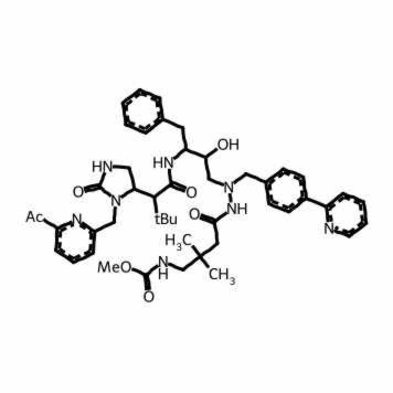 COC(=O)NCC(C)(C)CC(=O)NN(Cc1ccc(-c2ccccn2)cc1)CC(O)C(Cc1ccccc1)NC(=O)C(C1CNC(=O)N1Cc1cccc(C(C)=O)n1)C(C)(C)C